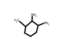 NC1CCCC(C(F)(F)F)C1N